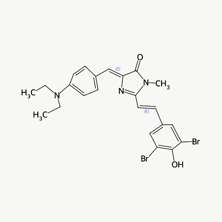 CCN(CC)c1ccc(/C=C2N=C(/C=C/c3cc(Br)c(O)c(Br)c3)N(C)C\2=O)cc1